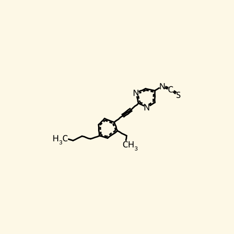 CCCCc1ccc(C#Cc2ncc(N=C=S)cn2)c(CC)c1